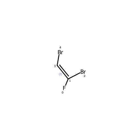 F/C(Br)=C/Br